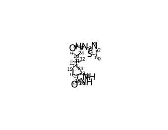 Cc1cnc(NC2COCC(C(C)(C)c3ccc4c(=O)[nH][nH]c4c3)C2)s1